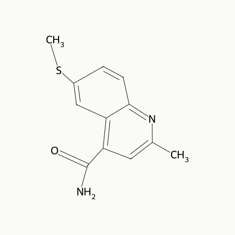 CSc1ccc2nc(C)cc(C(N)=O)c2c1